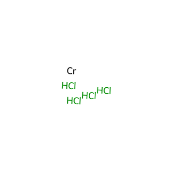 Cl.Cl.Cl.Cl.[Cr]